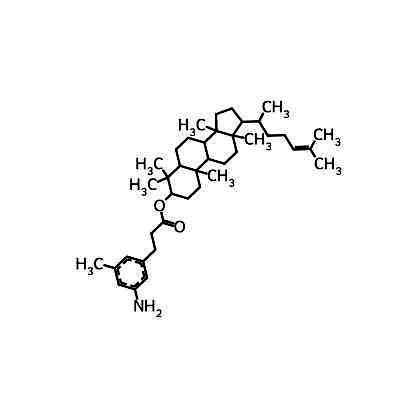 CC(C)=CCCC(C)C1CCC2(C)C3CCC4C(C)(C)C(OC(=O)CCc5cc(C)cc(N)c5)CCC4(C)C3CCC12C